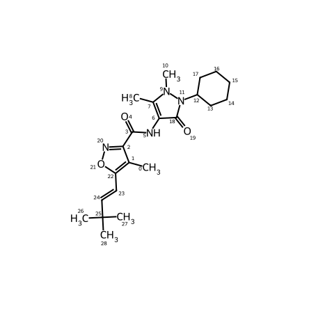 Cc1c(C(=O)Nc2c(C)n(C)n(C3CCCCC3)c2=O)noc1C=CC(C)(C)C